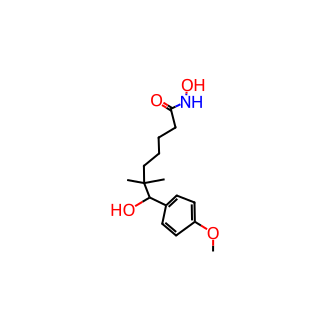 COc1ccc(C(O)C(C)(C)CCCCC(=O)NO)cc1